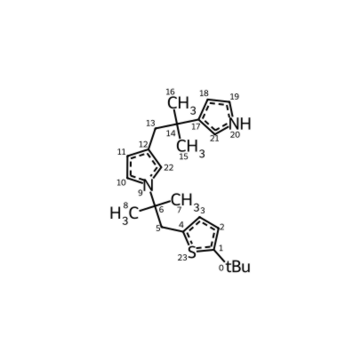 CC(C)(C)c1ccc(CC(C)(C)n2ccc(CC(C)(C)c3cc[nH]c3)c2)s1